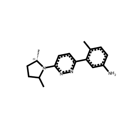 Cc1ccc(N)cc1-c1ccc(N2C(C)CC[C@@H]2C)nn1